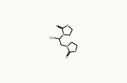 CC(CN1CCSC1=S)N1CCSC1=S